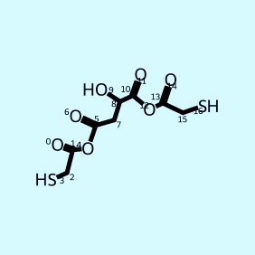 O=C(CS)OC(=O)CC(O)C(=O)OC(=O)CS